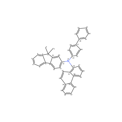 CC1(C)c2ccccc2-c2ccc(N(c3ccc(-c4ccccc4)cc3)c3cccc4c3ccc3ccccc34)cc21